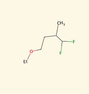 CCOCCC(C)C(F)F